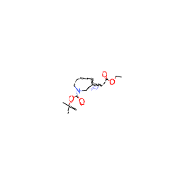 CCOC(=O)/C=C1\CCCCN(C(=O)OC(C)(C)C)C1